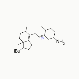 CCC(C)C1CCC2=C(C/C=C3/CC(N)CCC3C)C(C)CCC21C